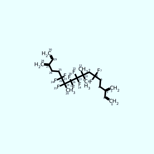 C=CC(=C)CCC(F)(F)CC(C)(C)C(F)(F)C(F)(F)C(C)(F)C(F)(F)CCC(=C)C=C